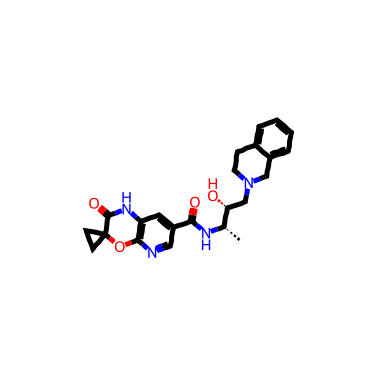 C[C@H](NC(=O)c1cnc2c(c1)NC(=O)C1(CC1)O2)[C@H](O)CN1CCc2ccccc2C1